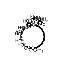 CCC(CO)NC(=O)[C@H]1[C@@H]2CC(O[C@@H]3OC[C@@H](O)[C@H](N)[C@@H]3O)/C=C/C=C/C=C/C=C/C=C/C=C/C=C/[C@H](C)[C@@H](O)C[C@H](C)OC(=O)CC(O)CC(O)CCC(O)C(O)CC(O)CC(O)(C[C@@H]1O)O2